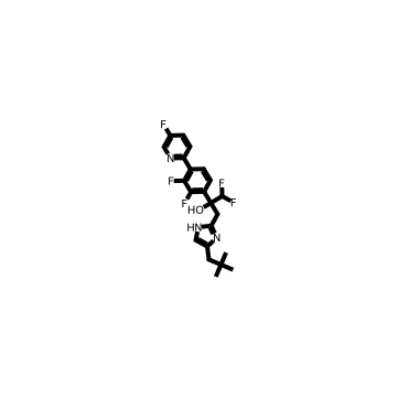 CC(C)(C)Cc1c[nH]c(CC(O)(c2ccc(-c3ccc(F)cn3)c(F)c2F)C(F)F)n1